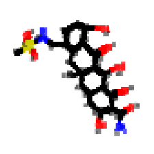 CS(=O)(=O)NCc1ccc(O)c2c1C[C@H]1CC3CC(O)=C(C(N)=O)C(=O)C3C(O)=C1C2=O